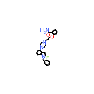 NC(=O)c1ccccc1OCCCN1CCN(c2cccc3c2ccn3Cc2ccccc2F)CC1